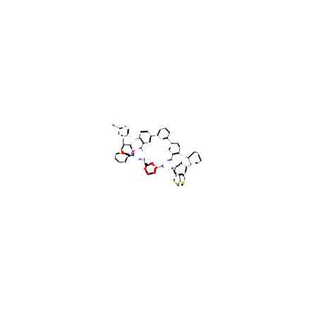 FC(F)(F)c1ccc2c(c1)c1ccccc1n2-c1ccc(-c2cccc(-c3ccc(-n4c5ccccc5c5cc(C(F)(F)F)ccc54)c(-c4nc(-c5ccccc5)nc(-c5ccccc5)n4)c3)c2)cc1-c1nc(-c2ccccc2)nc(-c2ccccc2)n1